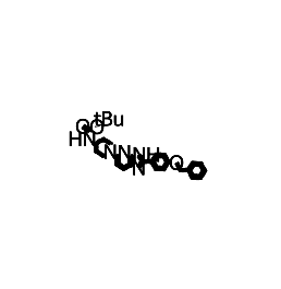 CC(C)(C)OC(=O)NC1CCN(c2ccc3nc(-c4ccc(OCc5ccccc5)cc4)[nH]c3n2)CC1